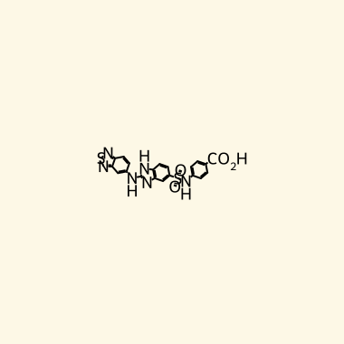 O=C(O)c1ccc(NS(=O)(=O)c2ccc3[nH]c(Nc4ccc5nsnc5c4)nc3c2)cc1